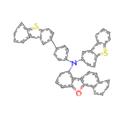 c1ccc2c(c1)ccc1c2oc2cccc(N(c3ccc(-c4ccc5sc6ccccc6c5c4)cc3)c3ccc4sc5ccccc5c4c3)c21